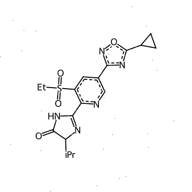 CCS(=O)(=O)c1cc(-c2noc(C3CC3)n2)cnc1C1=NC(C(C)C)C(=O)N1